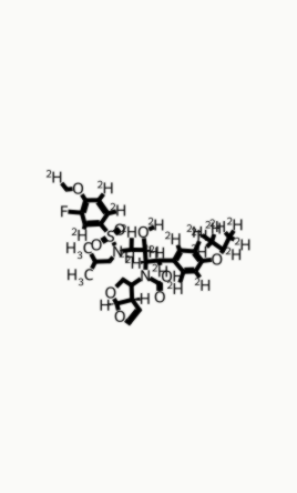 [2H]COc1c([2H])c([2H])c(S(=O)(=O)N(CC(C)C)C([2H])([2H])[C@@]([2H])(O[2H])[C@@]([2H])(N(C(=O)O)C2CO[C@@H]3OC=C[C@@H]23)C([2H])([2H])c2c([2H])c([2H])c(OC([2H])(C([2H])([2H])[2H])C([2H])([2H])[2H])c([2H])c2[2H])c([2H])c1F